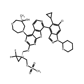 C[C@@]1(O)COCCN(c2nc(OC[C@]3(COS(C)(=O)=O)CC3(F)F)nc3sc4c(-c5c(C6CC6)c(Cl)cc6c5cnn6C5CCCCO5)nccc4c23)C1